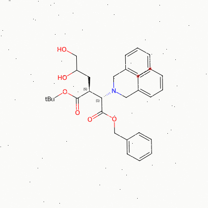 CC(C)(C)OC(=O)[C@@H](CC(O)CO)[C@@H](C(=O)OCc1ccccc1)N(Cc1ccccc1)Cc1ccccc1